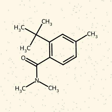 Cc1ccc(C(=O)N(C)C)c(C(C)(C)C)c1